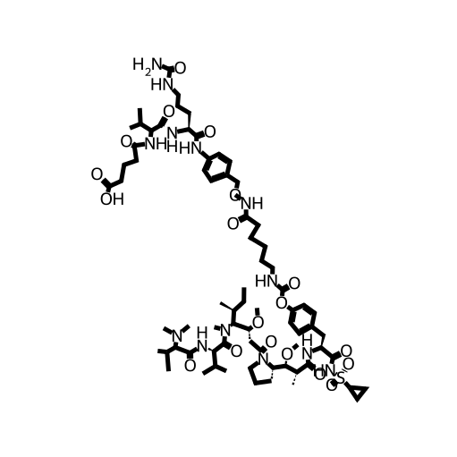 CC[C@H](C)[C@@H]([C@@H](CC(=O)N1CCC[C@H]1[C@H](OC)[C@@H](C)C(=O)N[C@@H](Cc1ccc(OC(=O)NCCCCCC(=O)NOCc2ccc(NC(=O)[C@H](CCCNC(N)=O)NC(=O)C(NC(=O)CCCC(=O)O)C(C)C)cc2)cc1)C(=O)NS(=O)(=O)C1CC1)OC)N(C)C(=O)[C@@H](NC(=O)C(C(C)C)N(C)C)C(C)C